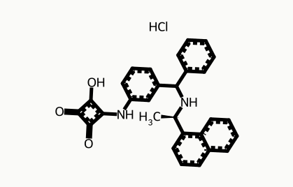 C[C@@H](NC(c1ccccc1)c1cccc(Nc2c(O)c(=O)c2=O)c1)c1cccc2ccccc12.Cl